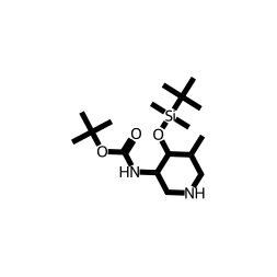 CC1CNCC(NC(=O)OC(C)(C)C)C1O[Si](C)(C)C(C)(C)C